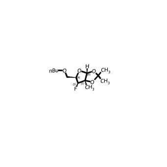 CCCCOC[C@H]1O[C@@H]2OC(C)(C)O[C@]2(C)[C@H]1F